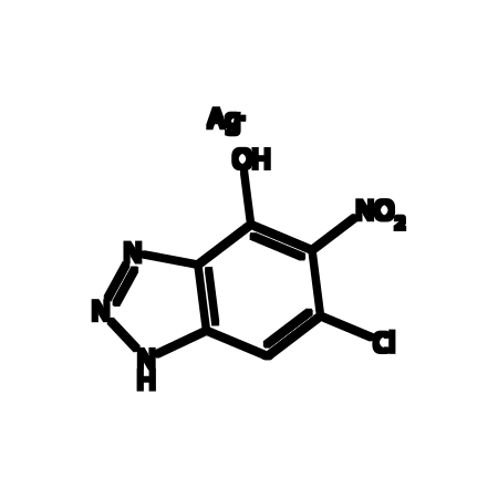 O=[N+]([O-])c1c(Cl)cc2[nH]nnc2c1O.[Ag]